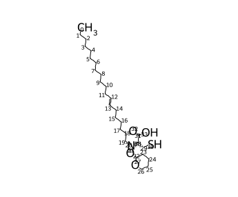 CCCCCCCCCCCCC=CCCCCCCN(OC1CCCCO1)[C@@H](CS)C(=O)O